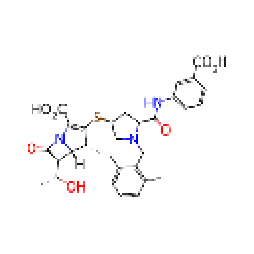 Cc1cccc(C)c1CN1C[C@@H](SC2=C(C(=O)O)N3C(=O)[C@H]([C@@H](C)O)[C@H]3[C@H]2C)C[C@H]1C(=O)Nc1cccc(C(=O)O)c1